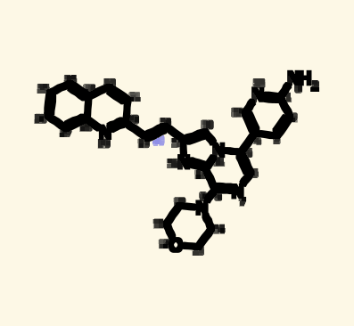 Nc1ccc(-c2cnc(N3CCOCC3)c3nc(/C=C/c4ccc5ccccc5n4)cn23)cn1